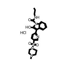 CCCNC(=O)n1c(O)c(-c2ccc(S(=O)(=O)N3CCN(C)CC3)cn2)c2ccccc21.Cl